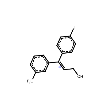 OC/C=C(\c1ccc(I)cc1)c1cccc(C(F)(F)F)c1